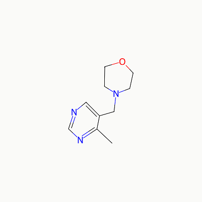 Cc1ncncc1CN1CCOCC1